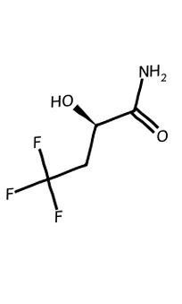 NC(=O)[C@H](O)CC(F)(F)F